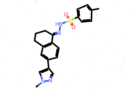 Cc1ccc(S(=O)(=O)N/N=C2\CCCc3cc(-c4cnn(C)c4)ccc32)cc1